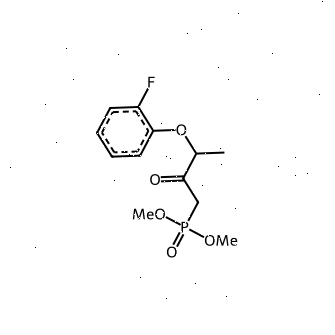 COP(=O)(CC(=O)C(C)Oc1ccccc1F)OC